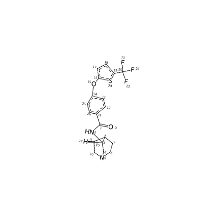 O=C(N[C@H]1CN2CCC1CC2)c1ccc(Oc2ccc(C(F)(F)F)s2)cc1